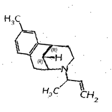 C=CC(C)N1CC[C@]23CCCC[C@H]2C1Cc1ccc(C)cc13